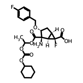 CC(OC(=O)OC1CCCCC1)OC(=O)[C@@]1(N)[C@H]2[C@@H](C[C@H]1OCc1ccc(F)cc1)[C@]2(F)C(=O)O